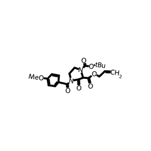 C=CCOC(=O)C1C(=O)N(C(=O)c2ccc(OC)cc2)CCN1C(=O)OC(C)(C)C